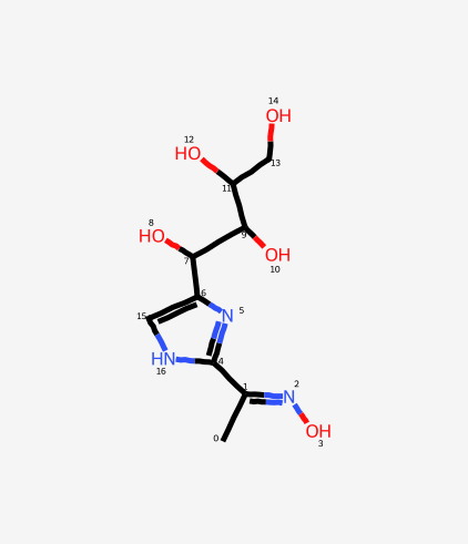 CC(=NO)c1nc(C(O)C(O)C(O)CO)c[nH]1